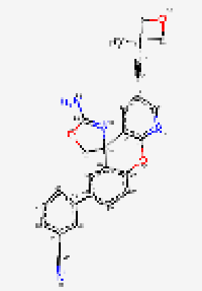 CC1(C#Cc2cnc3c(c2)C2(COC(N)=N2)c2cc(-c4cccc(C#N)c4)ccc2O3)COC1